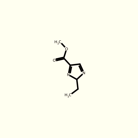 CCC1N=CC(C(=O)OC)=N1